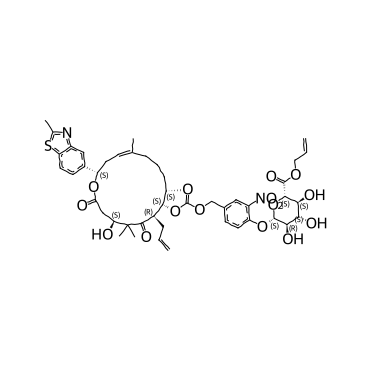 C=CCOC(=O)[C@H]1O[C@@H](Oc2ccc(COC(=O)O[C@H]3[C@@H](C)CCCC(C)=CC[C@@H](c4ccc5sc(C)nc5c4)OC(=O)C[C@H](O)C(C)(C)C(=O)[C@@H]3CC=C)cc2[N+](=O)[O-])[C@H](O)[C@@H](O)[C@@H]1O